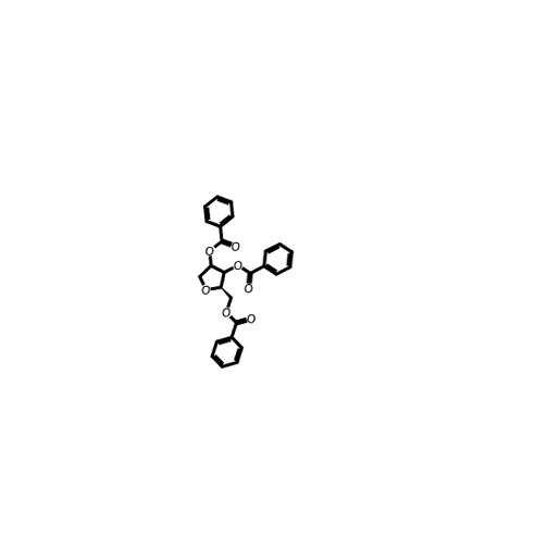 O=C(OC[C@H]1OCC(OC(=O)c2ccccc2)C1OC(=O)c1ccccc1)c1ccccc1